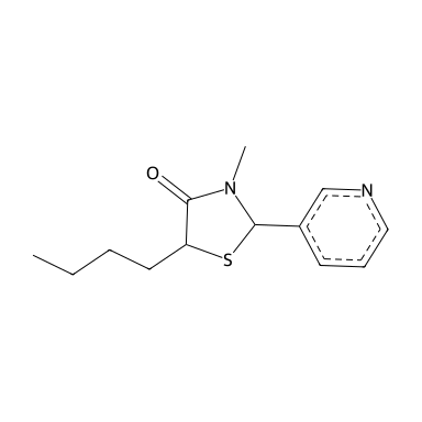 CCCCC1SC(c2cccnc2)N(C)C1=O